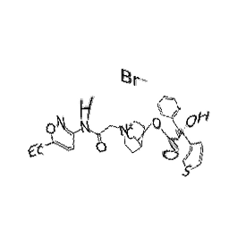 CCc1cc(NC(=O)C[N+]23CCC(CC2)C(OC(=O)[C@@](O)(c2ccccc2)c2ccsc2)C3)no1.[Br-]